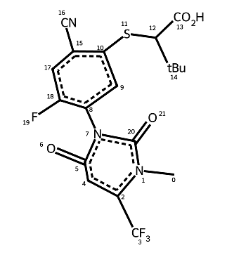 Cn1c(C(F)(F)F)cc(=O)n(-c2cc(SC(C(=O)O)C(C)(C)C)c(C#N)cc2F)c1=O